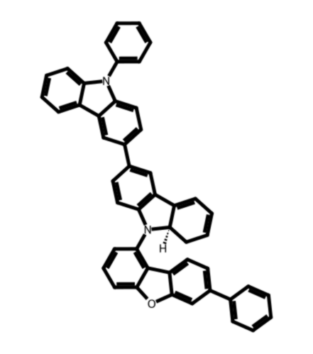 C1=CC[C@@H]2C(=C1)c1cc(-c3ccc4c(c3)c3ccccc3n4-c3ccccc3)ccc1N2c1cccc2oc3cc(-c4ccccc4)ccc3c12